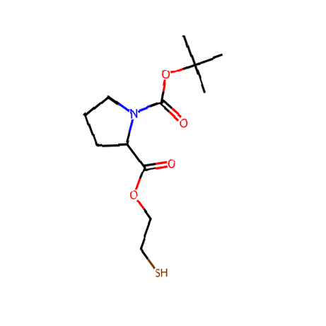 CC(C)(C)OC(=O)N1CCCC1C(=O)OCCS